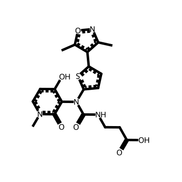 Cc1noc(C)c1-c1ccc(N(C(=O)NCCC(=O)O)c2c(O)ccn(C)c2=O)s1